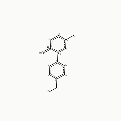 CCc1ccc(-n2cc(C)ccc2=O)cc1